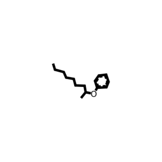 CCCCCCCC(C)Oc1ccccc1